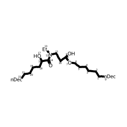 CCCCCCCCCCCCCCCCOC(O)CCN(CC)C(=O)C(O)CCCCCCCCCCCCCC